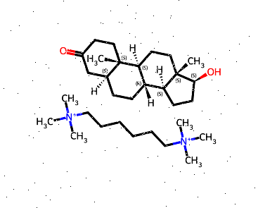 C[C@]12CCC(=O)C[C@@H]1CC[C@@H]1[C@@H]2CC[C@]2(C)[C@@H](O)CC[C@@H]12.C[N+](C)(C)CCCCCC[N+](C)(C)C